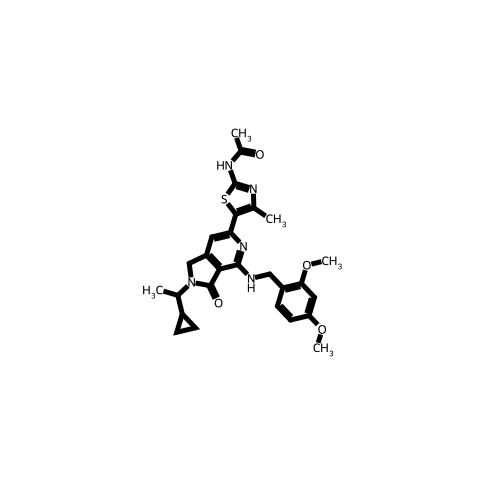 COc1ccc(CNc2nc(-c3sc(NC(C)=O)nc3C)cc3c2C(=O)N(C(C)C2CC2)C3)c(OC)c1